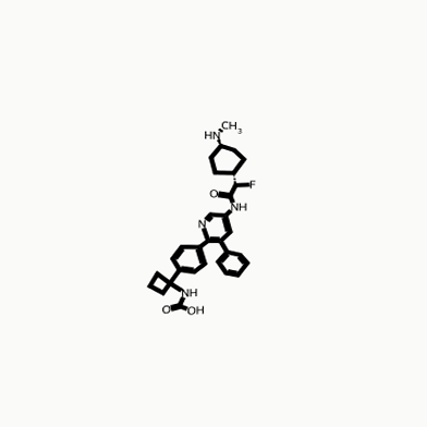 CN[C@H]1CC[C@H](C(F)C(=O)Nc2cnc(-c3ccc(C4(NC(=O)O)CCC4)cc3)c(-c3ccccc3)c2)CC1